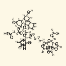 COc1ccc(C(OC[C@]2(COC(=O)CCC(=O)O)CN(CCCCCO[C@@H]3O[C@H](COC(C)=O)[C@H](OC(C)=O)[C@H](OC(C)=O)[C@H]3NC(C)=O)C[C@H](n3cc(C)c(=O)[nH]c3=O)O2)(c2ccccc2)c2ccc(OC)cc2)cc1